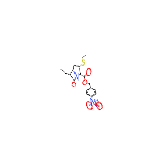 CCS[C@H]1CC2[C@H](CC)C(=O)N2[C@H]1C(=O)OCc1ccc([N+](=O)[O-])cc1